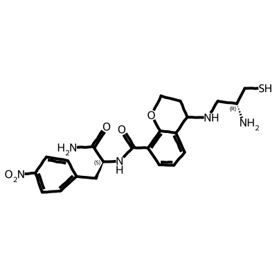 NC(=O)[C@H](Cc1ccc([N+](=O)[O-])cc1)NC(=O)c1cccc2c1OCCC2NC[C@@H](N)CS